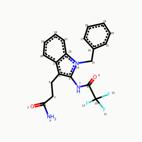 NC(=O)CCc1c(NC(=O)C(F)(F)F)n(Cc2ccccc2)c2ccccc12